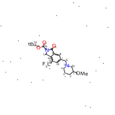 CO[C@H]1CCCN(Cc2cc3c(c(C(F)(F)F)c2)CN(C(=O)OC(C)(C)C)C3=O)C1